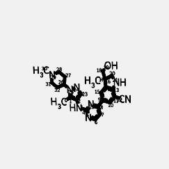 Cc1c(Nc2nccc(-c3cc(C#N)c4c(c3)[C@@](C)(CO)CN4)n2)cnn1C1CCN(C)CC1